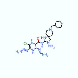 NN=NC1=C(Cl)NC(C(=O)NC2NC3(CCN(CC4CCCCC4)CC3)CN2N)C(N=NN)N1